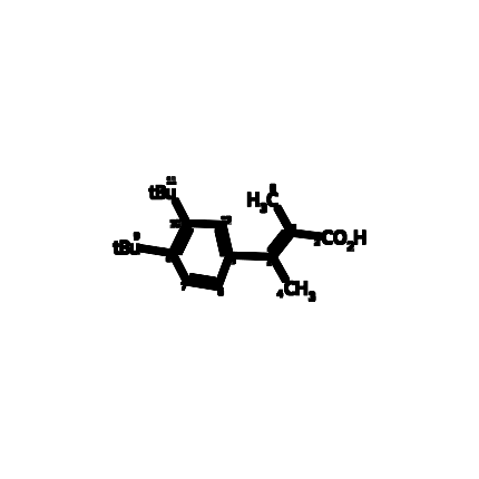 CC(C(=O)O)=C(C)c1ccc(C(C)(C)C)c(C(C)(C)C)c1